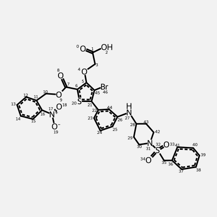 O=C(O)COc1c(C(=O)OCc2ccccc2[N+](=O)[O-])sc(-c2cccc(NC3CCN(S(=O)(=O)Cc4ccccc4)CC3)c2)c1Br